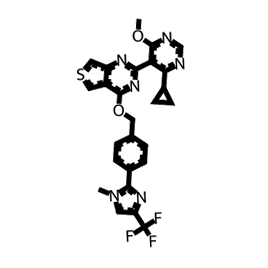 COc1ncnc(C2CC2)c1-c1nc(OCc2ccc(-c3nc(C(F)(F)F)cn3C)cc2)c2cscc2n1